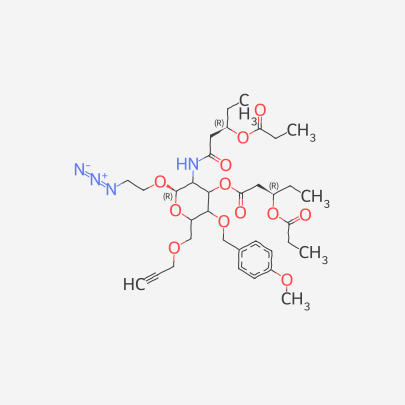 C#CCOCC1O[C@@H](OCCN=[N+]=[N-])C(NC(=O)C[C@@H](CC)OC(=O)CC)C(OC(=O)C[C@@H](CC)OC(=O)CC)C1OCc1ccc(OC)cc1